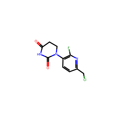 O=C1CCN(c2ccc(CCl)nc2F)C(=O)N1